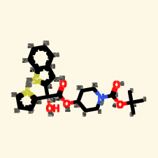 CC(C)(C)OC(=O)N1CCC(OC(=O)[C@@](O)(c2cccs2)c2cc3ccccc3s2)CC1